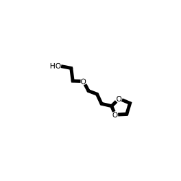 OCCOCCCC1OCCO1